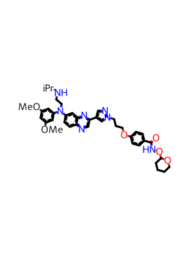 COc1cc(OC)cc(N(CCNC(C)C)c2ccc3ncc(-c4cnn(CCCOc5ccc(C(=O)NOC6CCCCO6)cc5)c4)nc3c2)c1